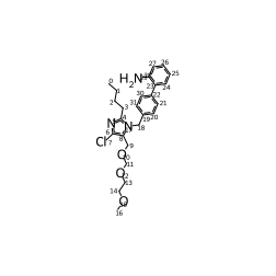 CCCCc1nc(Cl)c(COCOCCOC)n1Cc1ccc(-c2ccccc2N)cc1